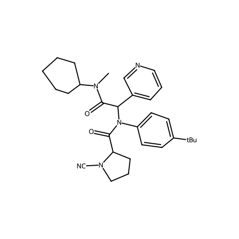 CN(C(=O)C(c1cccnc1)N(C(=O)C1CCCN1C#N)c1ccc(C(C)(C)C)cc1)C1CCCCC1